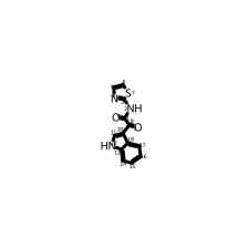 O=C(Nc1nccs1)C(=O)c1c[nH]c2ccccc12